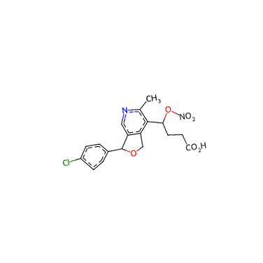 Cc1ncc2c(c1C(CCC(=O)O)O[N+](=O)[O-])COC2c1ccc(Cl)cc1